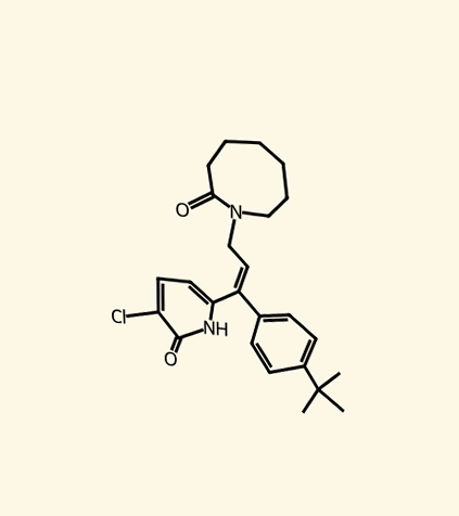 CC(C)(C)c1ccc(C(=CCN2CCCCCCC2=O)c2ccc(Cl)c(=O)[nH]2)cc1